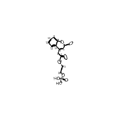 O=C(Cc1cc(=O)oc2ccccc12)OCCOP(=O)(O)O